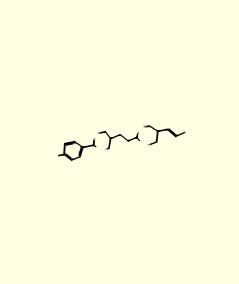 C/C=C/C1COC(CCC2COC(c3ccc(F)cc3)OC2)OC1